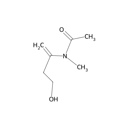 C=C(CCO)N(C)C(C)=O